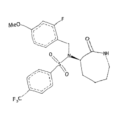 COc1ccc(CN([C@@H]2CCCCNC2=O)S(=O)(=O)c2ccc(C(F)(F)F)cc2)c(F)c1